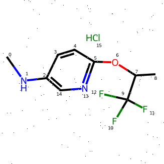 CNc1ccc(OC(C)C(F)(F)F)nc1.Cl